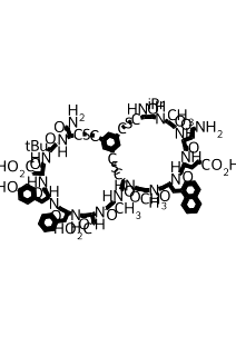 CC(C)NC1CSCc2cc3cc(c2)CSCC(NC(=O)C(C)NC(=O)C(Cc2cccc4ccccc24)NC(=O)C(CCC(=O)O)NC(=O)C(CC(N)=O)NC(=O)C(C)NC1=O)C(=O)NC(C)C(=O)NC(CC(=O)O)C(=O)NC(Cc1ccccc1)C(=O)NC(Cc1ccc(O)cc1)C(=O)NC(CC(=O)O)C(=O)NC(C(C)(C)C)C(=O)NC(C(N)=O)CSC3